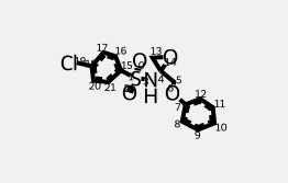 O=S(=O)(NC1(COc2ccccc2)CO1)c1ccc(Cl)cc1